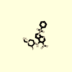 CCN1CC[C@@H](Nc2c([N+](=O)[O-])cnc3c2ccn3S(=O)(=O)c2ccccc2)[C@@H](F)C1